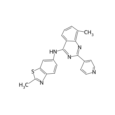 Cc1nc2ccc(Nc3nc(-c4ccncc4)nc4c(C)cccc34)cc2s1